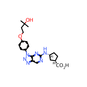 CC(C)(O)CCOc1ccc(-n2nnc3cnc(N[C@@H]4CC[C@@H](C(=O)O)C4)nc32)cc1